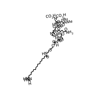 CCCCC(NC(=O)C(NC(=O)CN(CC(=O)O)CC(=O)O)NC(=O)C(Cc1c[nH]cn1)NC(=O)C(CCC(N)=O)NC(=O)C(CO)NC(=O)CNC(=O)COCCOCCNC(=O)CCCCCCCCCCCCCCCC1=NNNN1)C(=O)NC